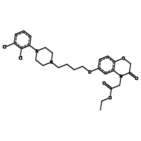 CCOC(=O)CN1C(=O)COc2ccc(OCCCCN3CCN(c4cccc(Cl)c4Cl)CC3)cc21